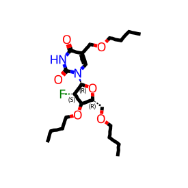 CCCCOCc1cn([C@@H]2O[C@H](COCCCC)C(OCCCC)[C@@H]2F)c(=O)[nH]c1=O